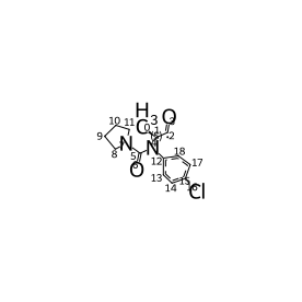 C[C@@H]([C]=O)N(C(=O)N1CCCC1)c1ccc(Cl)cc1